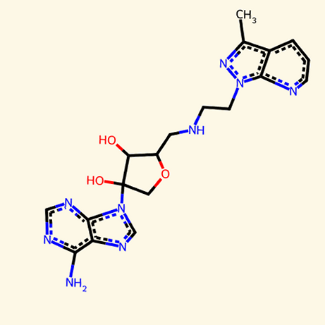 Cc1nn(CCNCC2OCC(O)(n3cnc4c(N)ncnc43)C2O)c2ncccc12